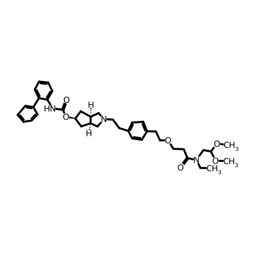 CCN(CC(OC)OC)C(=O)CCOCCc1ccc(CCN2C[C@H]3C[C@@H](OC(=O)Nc4ccccc4-c4ccccc4)C[C@H]3C2)cc1